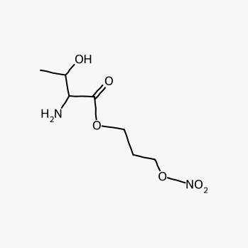 CC(O)C(N)C(=O)OCCCO[N+](=O)[O-]